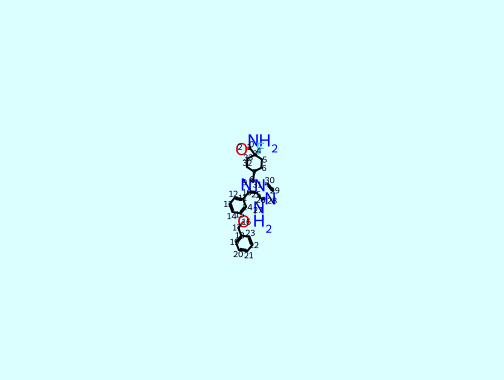 NC(=O)C1(F)CCC(c2nc(-c3cccc(OCc4ccccc4)c3)c3c(N)nccn23)CC1